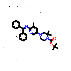 Cc1cc(N2CCN(C(=O)OC(C)(C)C)C(C)(C)C2)cnc1N=C(c1ccccc1)c1ccccc1